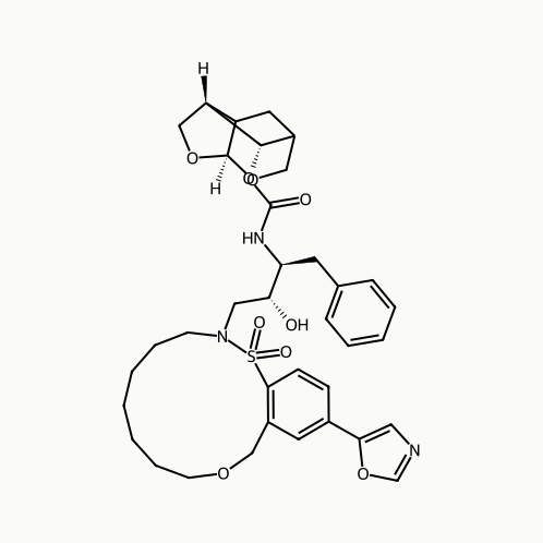 O=C(N[C@@H](Cc1ccccc1)[C@H](O)CN1CCCCCCCOCc2cc(-c3cnco3)ccc2S1(=O)=O)O[C@H]1C2CO[C@H]3OC[C@@H]1C3C2